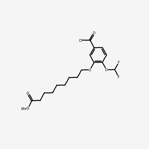 COC(=O)CCCCCCCCOc1cc(C(=O)Cl)ccc1OC(F)F